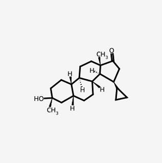 C[C@@]1(O)CC[C@H]2[C@H](CC[C@@H]3[C@@H]2CC[C@]2(C)C(=O)C[C@@H](C4CC4)[C@@H]32)C1